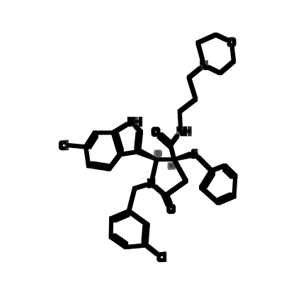 O=C1C[C@@](Sc2ccccc2)(C(=O)NCCCN2CCOCC2)[C@H](c2c[nH]c3cc(Cl)ccc23)N1Cc1cccc(Cl)c1